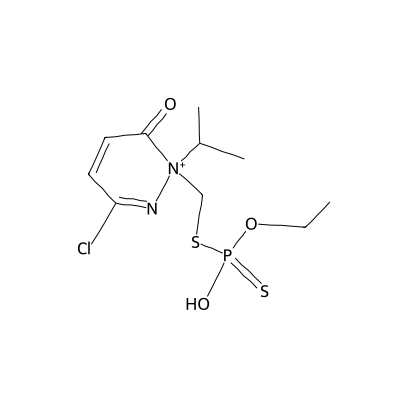 CCOP(O)(=S)SC[N+]1(C(C)C)N=C(Cl)C=CC1=O